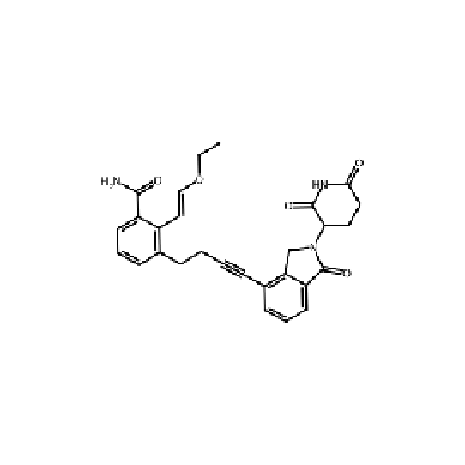 CCOC=Cc1c(CCC#Cc2cccc3c2CN(C2CCC(=O)NC2=O)C3=O)cccc1C(N)=O